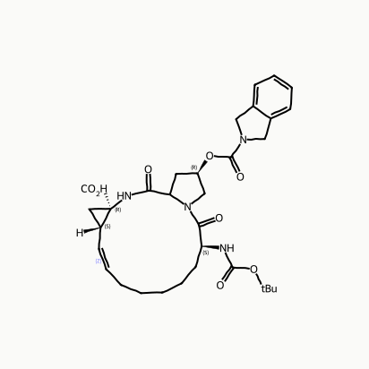 CC(C)(C)OC(=O)N[C@H]1CCCCC/C=C\[C@@H]2C[C@@]2(C(=O)O)NC(=O)C2C[C@@H](OC(=O)N3Cc4ccccc4C3)CN2C1=O